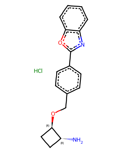 Cl.N[C@@H]1CC[C@H]1OCc1ccc(-c2nc3ccccc3o2)cc1